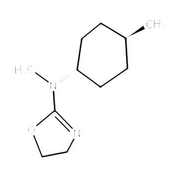 CN(C1=NCCO1)[C@H]1CC[C@H](C)CC1